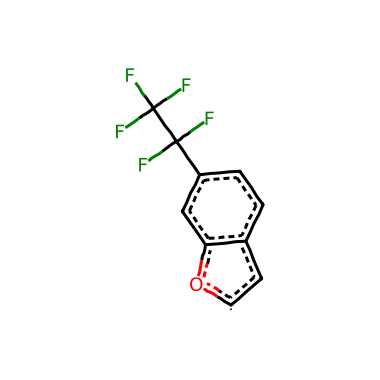 FC(F)(F)C(F)(F)c1ccc2c[c]oc2c1